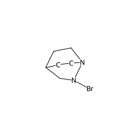 BrN1CC2CCN1CC2